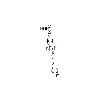 O=[PH](O)OCCCNCc1cc(F)c(SCCCCCc2ccc(F)cc2)cn1